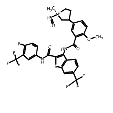 COc1ccc(C2CC[N@+](C)([SH]=O)C2)cc1C(=O)Nc1c(C(=O)Nc2ccc(F)c(C(F)(F)F)c2)sc2cc(C(F)(F)F)ccc12